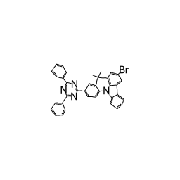 CC1(C)c2cc(-c3nc(-c4ccccc4)nc(-c4ccccc4)n3)ccc2-n2c3ccccc3c3cc(Br)cc1c32